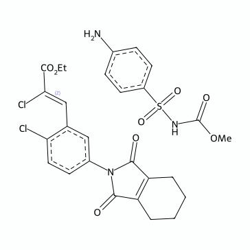 CCOC(=O)/C(Cl)=C/c1cc(N2C(=O)C3=C(CCCC3)C2=O)ccc1Cl.COC(=O)NS(=O)(=O)c1ccc(N)cc1